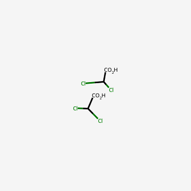 O=C(O)C(Cl)Cl.O=C(O)C(Cl)Cl